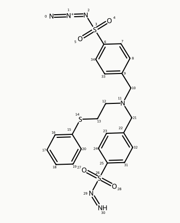 [N-]=[N+]=NS(=O)(=O)c1ccc(CN(CCSc2ccccc2)Cc2ccc(S(=O)(=O)N=N)cc2)cc1